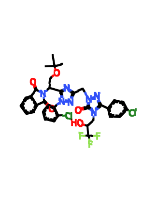 CC(C)(C)OCC(c1nc(Cn2nc(-c3ccc(Cl)cc3)n(CC(O)C(F)(F)F)c2=O)nn1-c1ccccc1Cl)N1C(=O)c2ccccc2C1=O